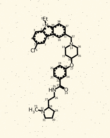 CCn1c2ccc(Cl)cc2c2cc(CN3CCC(Oc4cccc(C(=O)NCCC5CCCN5C)c4)CC3)ccc21